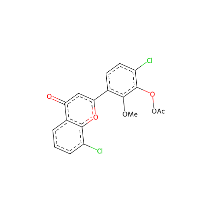 COc1c(-c2cc(=O)c3cccc(Cl)c3o2)ccc(Cl)c1OOC(C)=O